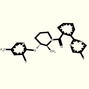 C[C@H]1[C@H](Oc2ncc(C(F)(F)F)cc2F)CCCN1C(=O)c1ccccc1-c1ncc(F)cn1